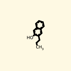 CCCc1cc2ccccc2cc1O